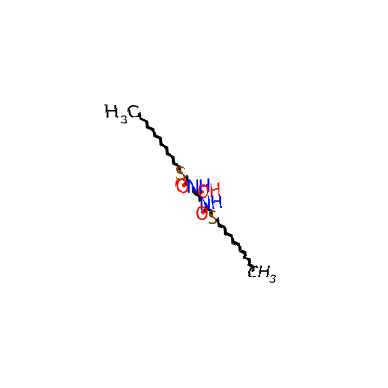 CCCCCCCCCCCCCCSCC(=O)NCC(O)CNC(=O)CSCCCCCCCCCCCCCC